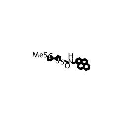 CSc1ccc(-c2ccc(SCC(=O)NCc3ccc4ccc5c6c4c3CC=C6C=CC5)s2)s1